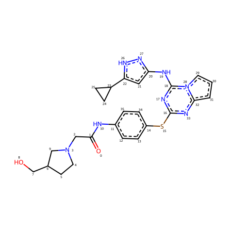 O=C(CN1CCC(CO)C1)Nc1ccc(Sc2nc(Nc3cc(C4CC4)[nH]n3)n3cccc3n2)cc1